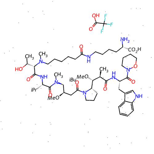 CC[C@H](C)[C@@H]([C@@H](CC(=O)N1CCC[C@H]1[C@H](OC)[C@@H](C)C(=O)N[C@@H](Cc1c[nH]c2ccccc12)C(=O)N1CCCCO1)OC)N(C)C(=O)[C@@H](NC(=O)[C@H](C(C)O)N(C)CCCCCC(=O)NCCCC[C@H](N)C(=O)O)C(C)C.O=C(O)C(F)(F)F